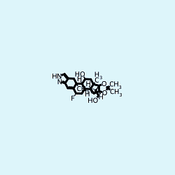 CC1(C)O[C@@H]2C[C@H]3[C@@H]4C[C@H](F)C5=Cc6n[nH]cc6C[C@]5(C)[C@H]4[C@@H](O)C[C@]3(C)[C@]2(C(=O)CO)O1